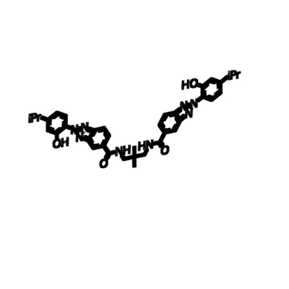 CC(C)c1ccc(-n2n3c4ccc(C(=O)NCC(C)(C)CNC(=O)c5ccc6c(c5)n5n(-c7ccc(C(C)C)cc7O)n65)cc4n23)c(O)c1